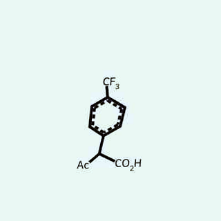 CC(=O)C(C(=O)O)c1ccc(C(F)(F)F)cc1